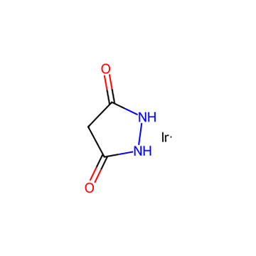 O=C1CC(=O)NN1.[Ir]